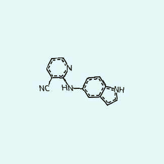 N#Cc1cccnc1Nc1ccc2[nH]ccc2c1